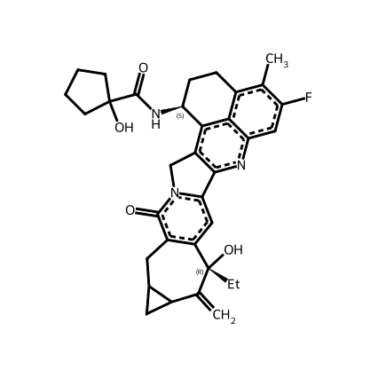 C=C1C2CC2Cc2c(cc3n(c2=O)Cc2c-3nc3cc(F)c(C)c4c3c2[C@@H](NC(=O)C2(O)CCCC2)CC4)[C@@]1(O)CC